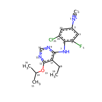 [C-]#[N+]c1cc(F)c(Nc2ncnc(OC(C)C)c2CC)c(Cl)c1